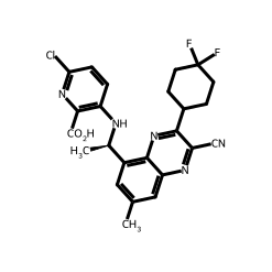 Cc1cc([C@@H](C)Nc2ccc(Cl)nc2C(=O)O)c2nc(C3CCC(F)(F)CC3)c(C#N)nc2c1